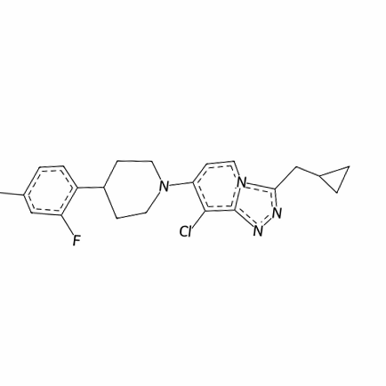 Fc1ccc(C2CCN(c3ccn4c(CC5CC5)nnc4c3Cl)CC2)c(F)c1